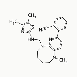 Cc1nc(NCN2CCCCN(C)c3ccc(-c4ccccc4C#N)nc32)sc1C